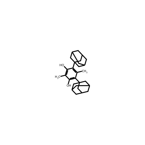 Cc1c(O)c(C23CC4CC(CC(C4)C2)C3)c(C)c(C23CC4CC(CC(C4)C2)C3)c1O